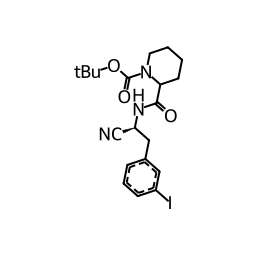 CC(C)(C)OC(=O)N1CCCCC1C(=O)N[C@H](C#N)Cc1cccc(I)c1